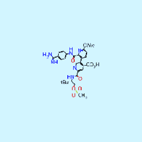 COc1ccc(-c2cnc(C(=O)N[C@H](COS(C)(=O)=O)C(C)(C)C)cc2C(=O)O)c(C(=O)Nc2ccc(C(=N)N)cc2)n1